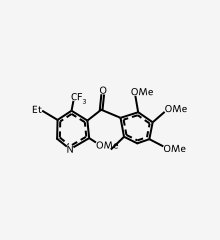 CCc1cnc(OC)c(C(=O)c2c(C)cc(OC)c(OC)c2OC)c1C(F)(F)F